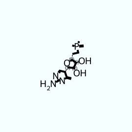 C=C1N=C(N)N=CC1[C@@H]1O[C@H](CCP(=C)(C)C)[C@@H](O)[C@H]1O